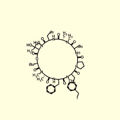 CCC(C)C1NC(=O)C2CCCN2C(=O)C(Cc2cccc(CI)c2)N(C)C(=O)C(Cc2ccccc2)NC(=O)[C@H](C)N(C)C(=O)[C@@H](C(C)CC)OC(=O)C(C(C)(C)O)N(C)C(=O)C(CC(C)C)NC(=O)[C@H](C)N(C)C1=O